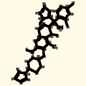 COc1nc2c(c(Cl)c1CN1CCC(n3cccn3)CC1)C(C)C(C(O)(c1ccc(C)nc1C)c1cnnn1C)C=C2